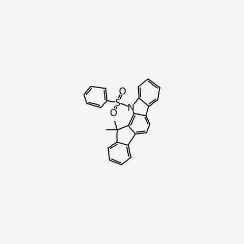 CC1(C)c2ccccc2-c2ccc3c4ccccc4n(S(=O)(=O)c4ccccc4)c3c21